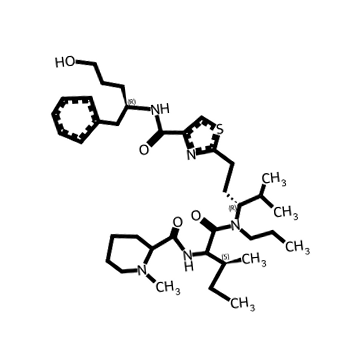 CCCN(C(=O)C(NC(=O)C1CCCCN1C)[C@@H](C)CC)[C@H](CCc1nc(C(=O)N[C@H](CCCO)Cc2ccccc2)cs1)C(C)C